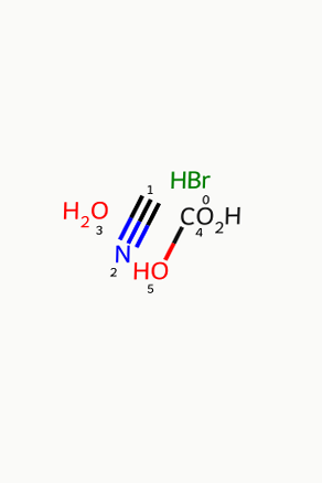 Br.C#N.O.O=C(O)O